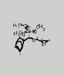 C1=CC2CC1CC2COCC1CO1.CO[SiH](OC)OC